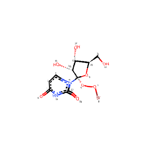 O=c1ccn([C@]2(OOBr)O[C@H](CO)[C@@H](O)[C@H]2O)c(=O)[nH]1